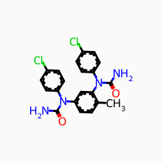 Cc1ccc(N(C(N)=O)c2ccc(Cl)cc2)cc1N(C(N)=O)c1ccc(Cl)cc1